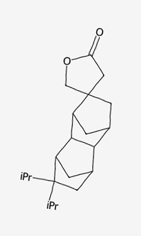 CC(C)C1(C(C)C)CC2CC1C1C2C2CC1C1(COC(=O)C1)C2